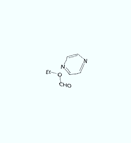 CCOC=O.c1cnccn1